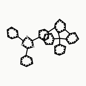 c1ccc(-c2nc(-c3ccccc3)nc(-c3ccc(-c4cccc5c4C(c4ccccc4)(c4ccccc4)c4ccccc4-5)cc3)n2)cc1